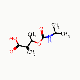 C=C(C(=O)O)C(C)OC(=O)NC(C)C